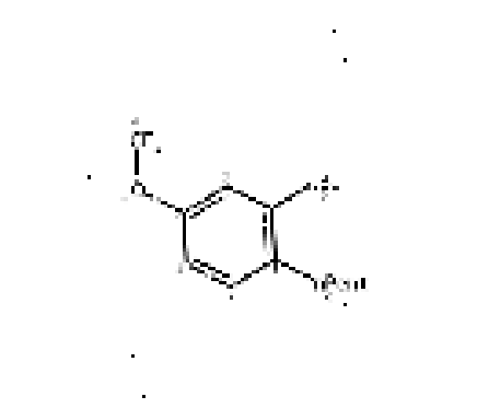 CCCCCc1ccc(OC(F)(F)F)cc1C(C)(C)C